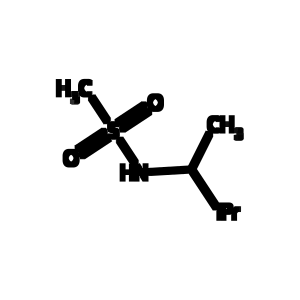 CC(C)C(C)NS(C)(=O)=O